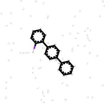 Ic1ccccc1-c1ccc(-c2ccccc2)cc1